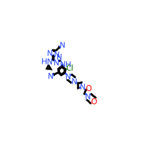 N#Cc1cc(Nc2nc(NC3CC3)c3ncc(C#N)n3n2)c(Cl)c(N2CCN(C3CN(C(=O)CN4CCOCC4)C3)CC2)c1